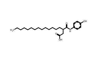 CCCCCCCCCCCCCCC(CC(=O)O)C(=O)Nc1ccc(O)cc1